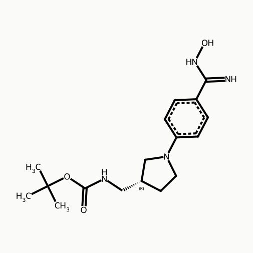 CC(C)(C)OC(=O)NC[C@H]1CCN(c2ccc(C(=N)NO)cc2)C1